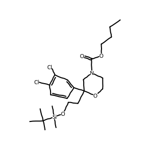 CCCCOC(=O)N1CCOC(CCO[Si](C)(C)C(C)(C)C)(c2ccc(Cl)c(Cl)c2)C1